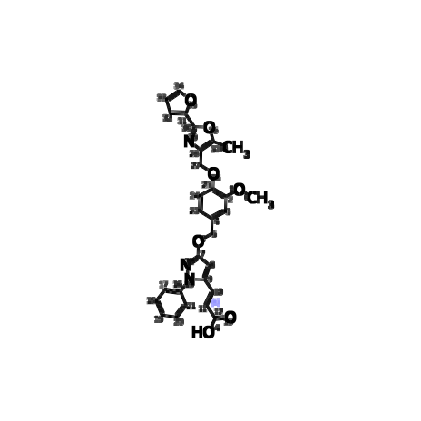 COc1cc(COc2cc(/C=C/C(=O)O)n(-c3ccccc3)n2)ccc1OCc1nc(-c2ccco2)oc1C